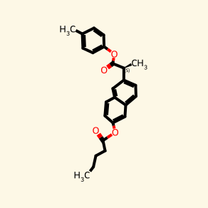 CCCCC(=O)Oc1ccc2cc([C@H](C)C(=O)Oc3ccc(C)cc3)ccc2c1